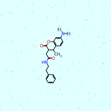 CCN(CC)c1ccc2c(c1)OC(=O)C(CC(=O)NCCc1ccccc1)C2C